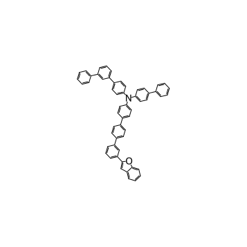 c1ccc(-c2ccc(N(c3ccc(-c4ccc(-c5cccc(-c6cc7ccccc7o6)c5)cc4)cc3)c3ccc(-c4cccc(-c5ccccc5)c4)cc3)cc2)cc1